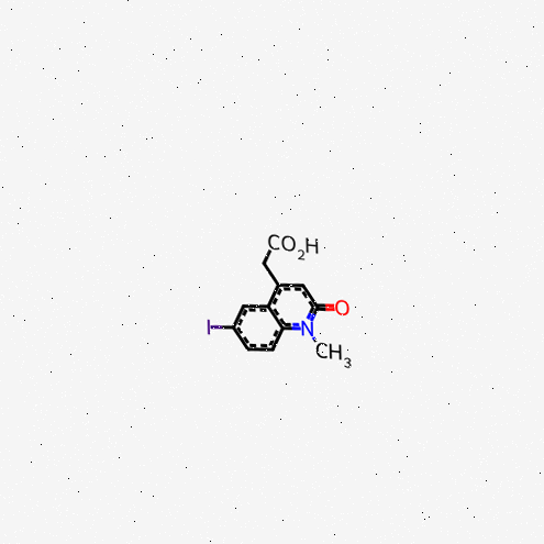 Cn1c(=O)cc(CC(=O)O)c2cc(I)ccc21